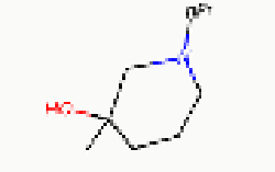 CCCN1CCCC(C)(O)C1